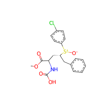 COC(=O)C(C[C@@H](Cc1ccccc1)[S+]([O-])c1ccc(Cl)cc1)NC(=O)O